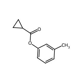 Cc1cccc(OC(=O)C2CC2)c1